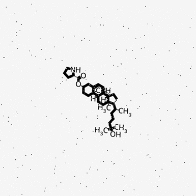 C[C@H](CCCC(C)(C)O)[C@H]1CC[C@H]2[C@@H]3CC=C4C[C@@H](OC(=O)[C@@H]5CCCN5)CC[C@]4(C)[C@H]3CC[C@]12C